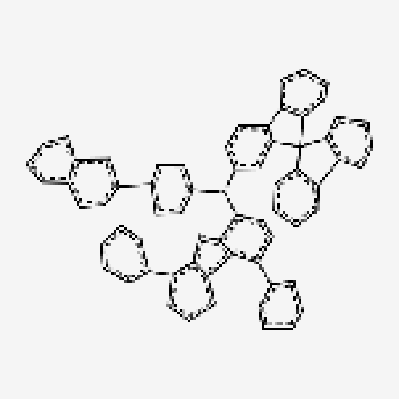 c1ccc(-c2cccc3c2sc2c(N(c4ccc(-c5ccc6ccccc6c5)cc4)c4ccc5c(c4)C4(c6ccccc6-c6ccccc64)c4ccccc4-5)ccc(-c4ccccc4)c23)cc1